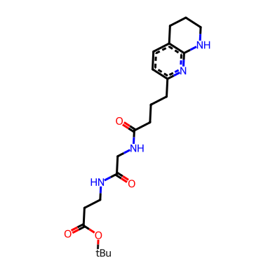 CC(C)(C)OC(=O)CCNC(=O)CNC(=O)CCCc1ccc2c(n1)NCCC2